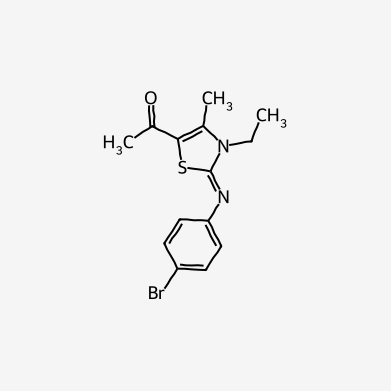 CCn1c(C)c(C(C)=O)s/c1=N\c1ccc(Br)cc1